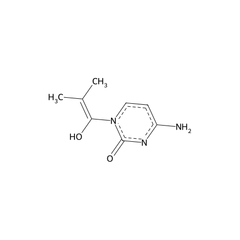 CC(C)=C(O)n1ccc(N)nc1=O